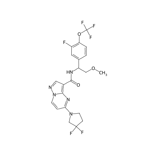 COCC(NC(=O)c1cnn2ccc(N3CCC(F)(F)C3)nc12)c1ccc(OC(F)(F)F)c(F)c1